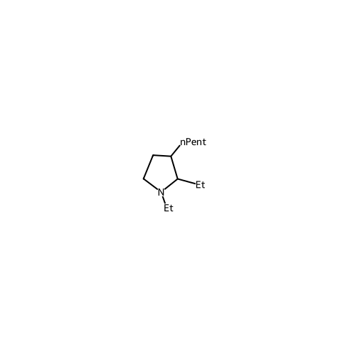 CCCCCC1CCN(CC)C1CC